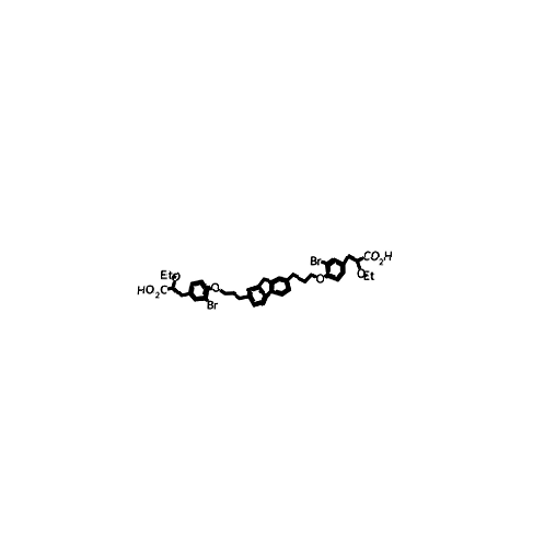 CCOC(Cc1ccc(OCCCc2ccc3c(c2)Cc2cc(CCCOc4ccc(CC(OCC)C(=O)O)cc4Br)ccc2-3)c(Br)c1)C(=O)O